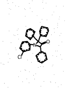 O=C1C(c2ccccc2)N(c2cccc(Cl)c2)C1(c1ccccc1)c1ccccc1